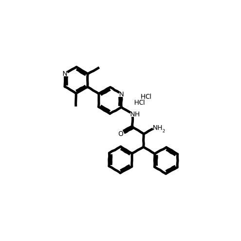 Cc1cncc(C)c1-c1ccc(NC(=O)C(N)C(c2ccccc2)c2ccccc2)nc1.Cl.Cl